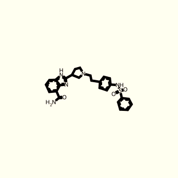 NC(=O)c1cccc2[nH]c(C3CCN(CCc4ccc(NS(=O)(=O)c5ccccc5)cc4)C3)nc12